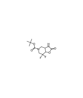 CC(C)(C)OC(=O)N1CC2NC(=O)OC2C(F)(F)C1